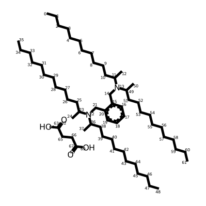 CCCCCCCCCCCC(C)N(Cc1ccccc1CN(C(C)CCCCCCCCCCC)C(C)CCCCCCCCCCC)C(C)CCCCCCCCCCC.O=C(O)CCC(=O)O